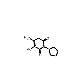 CC(=O)C1=C(C)CC(=O)N(C2CCCC2)C1=O